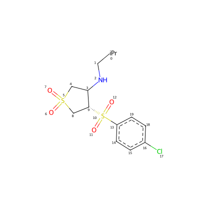 CC(C)CNC1CS(=O)(=O)C[C@H]1S(=O)(=O)c1ccc(Cl)cc1